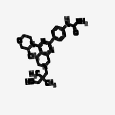 C[C@H]1COCCN1c1nc(-c2ccc(NC(N)=O)cc2)nc2c1CCN(CC(C)(C)CO)C2